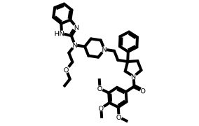 CCOCCN(c1nc2ccccc2[nH]1)C1CCN(CCC2(c3ccccc3)CCN(C(=O)c3cc(OC)c(OC)c(OC)c3)C2)CC1